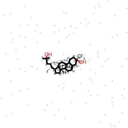 C[C@H](CCC(C)(C)O)C1CC[C@H]2[C@@H]3CC=C4C[C@](O)(C(F)(F)F)CC[C@]4(C)[C@H]3CC[C@]12C